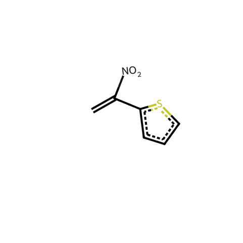 C=C(c1cccs1)[N+](=O)[O-]